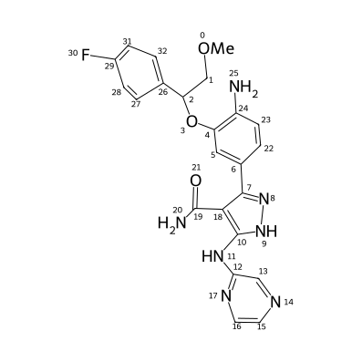 COCC(Oc1cc(-c2n[nH]c(Nc3cnccn3)c2C(N)=O)ccc1N)c1ccc(F)cc1